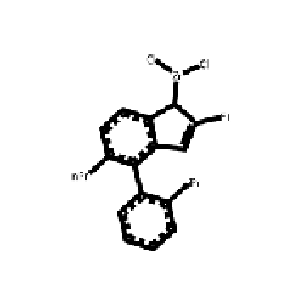 CCCc1ccc2c(c1-c1ccccc1C(C)C)C=C(CC)[CH]2[Zr]([Cl])[Cl]